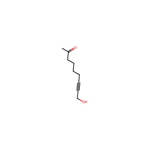 CC(=O)CCCCC#CCO